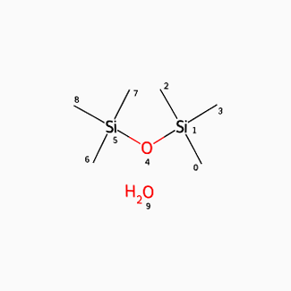 C[Si](C)(C)O[Si](C)(C)C.O